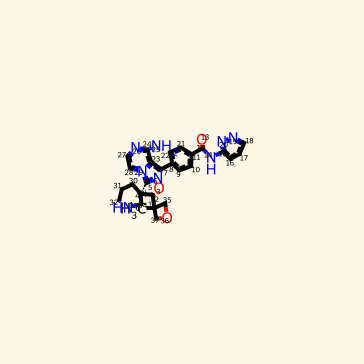 CC1(C(=O)[C@]2(c3nc(-c4ccc(C(=O)Nc5cccnn5)cc4)c4c(N)nccn34)CCCNC2)COC1